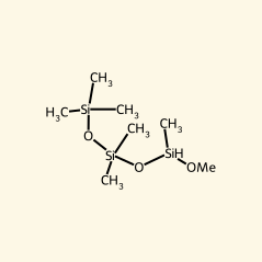 CO[SiH](C)O[Si](C)(C)O[Si](C)(C)C